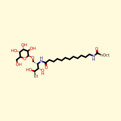 CCCCCCCCC(=O)NCCCCCCCCCCCC(=O)N[C@@H](CO[C@H]1OC(CO)[C@H](O)[C@H](O)C1O)[C@H](O)[C@H](O)CC